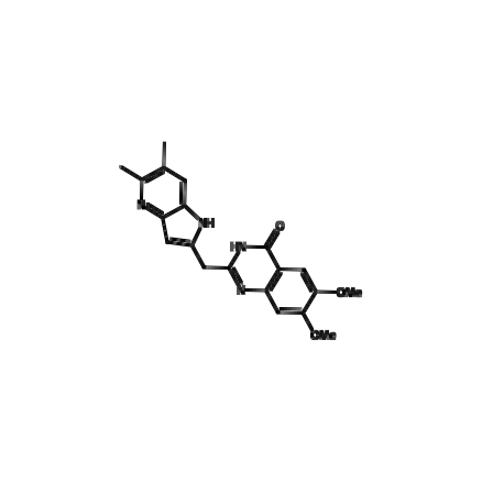 COc1cc2nc(Cc3cc4nc(C)c(C)cc4[nH]3)[nH]c(=O)c2cc1OC